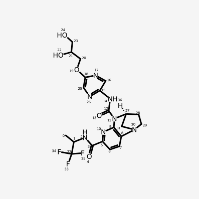 CC(NC(=O)c1ccc2c(n1)N(C(=O)Nc1cnc(OCC(O)CO)cn1)[C@H]1CCN2C1)C(F)(F)F